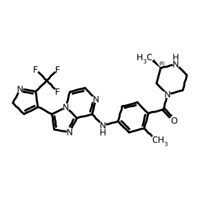 Cc1cc(Nc2nccn3c(C4=CCN=C4C(F)(F)F)cnc23)ccc1C(=O)N1CCN[C@H](C)C1